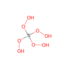 O[O][Ti]([O]O)([O]O)[O]O